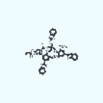 C=CC(=O)OCCNC(=O)OCC(COc1c(OC)cc(-c2nc3ccccc3s2)cc1OC)(COc1c(OC)cc(-c2nc3ccccc3s2)cc1OC)CSc1nc2ccccc2s1